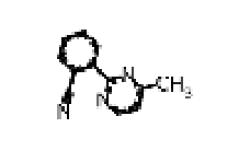 Cc1ccnc(-c2ccccc2C#N)n1